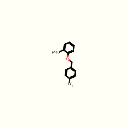 COc1c[c]ccc1OCc1ccc(C(F)(F)F)cc1